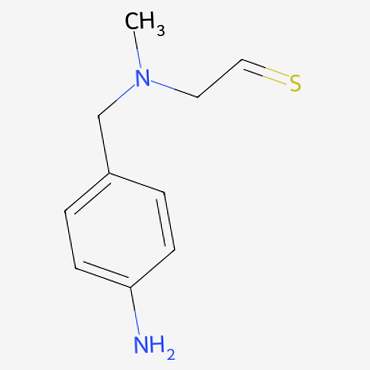 CN(CC=S)Cc1ccc(N)cc1